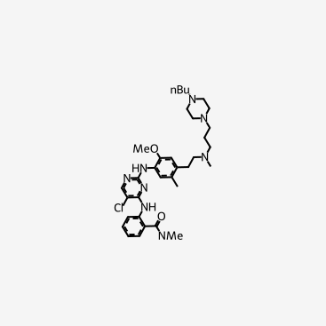 CCCCN1CCN(CCCN(C)CCc2cc(OC)c(Nc3ncc(Cl)c(Nc4ccccc4C(=O)NC)n3)cc2C)CC1